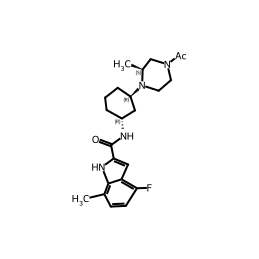 CC(=O)N1CCN([C@@H]2CCC[C@@H](NC(=O)c3cc4c(F)ccc(C)c4[nH]3)C2)[C@@H](C)C1